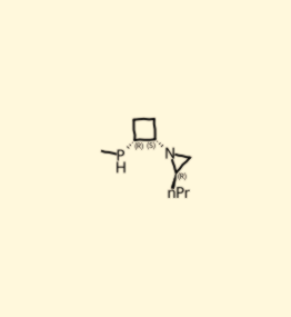 CCC[C@@H]1CN1[C@H]1CC[C@H]1PC